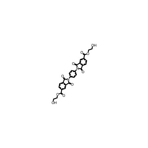 O=C(OCCO)c1ccc2c(c1)C(=O)N(c1ccc(N3C(=O)c4ccc(C(=O)OCCO)cc4C3=O)cc1)C2=O